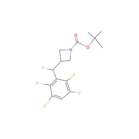 CC(C)(C)OC(=O)N1CC(C(F)c2c(F)c(F)cc(F)c2F)C1